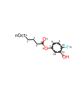 CCCCCCCCCCCC(=O)Oc1ccc(F)c(O)c1